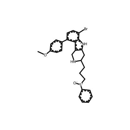 COc1ccc(-c2ccc(Br)c3[nH]c4c(c23)CNC(CCC[S+]([O-])c2ccccc2)C4)cc1